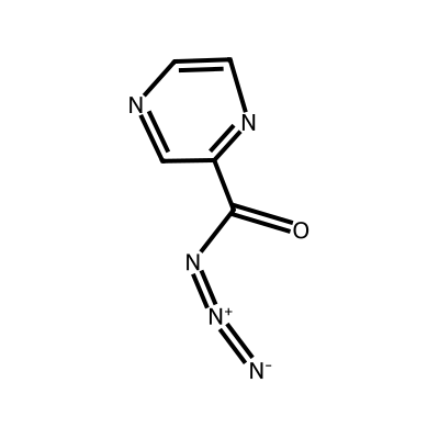 [N-]=[N+]=NC(=O)c1cnccn1